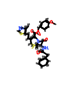 COc1ccc(COC(=O)C2=C(C=Cc3scnc3C)CS[C@H]3[C@H](NC(=O)Cc4ccccc4)C(=O)N23)cc1